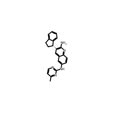 Cc1ccnc(Nc2ccc3nc(N)c([C@@H]4CCc5ccccc54)cc3c2)n1